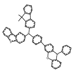 CC1(C)c2ccccc2-c2ccc(N(c3ccc(-c4ccc5c(c4)Oc4ccccc4N5c4ccccc4)cc3)c3ccc4sc5ccccc5c4c3)cc21